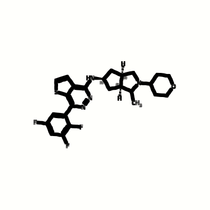 CC1[C@H]2C[C@@H](Nc3nnc(-c4cc(F)cc(F)c4F)c4sccc34)C[C@H]2CN1C1CCOCC1